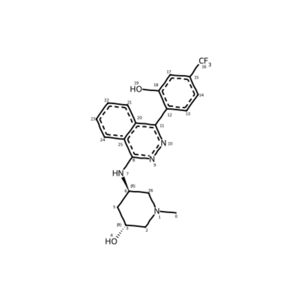 CN1C[C@H](O)C[C@@H](Nc2nnc(-c3ccc(C(F)(F)F)cc3O)c3ccccc23)C1